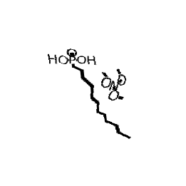 CCCCCCCCCCCCP(=O)(O)O.CON(OC)OC